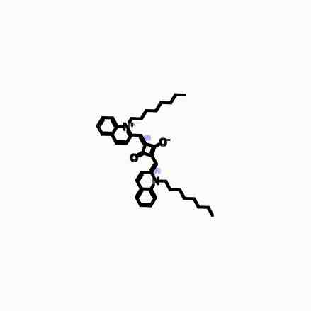 CCCCCCCCN1/C(=C/C2=C([O-])C(=C/c3ccc4ccccc4[n+]3CCCCCCCC)/C2=O)C=Cc2ccccc21